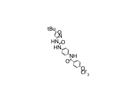 CC(C)(C)c1cc(NC(=O)Nc2ccc(NC(=O)c3ccc(OC(F)(F)F)cc3)cc2)no1